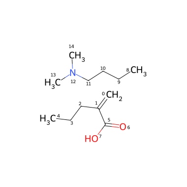 C=C(CCC)C(=O)O.CCCCN(C)C